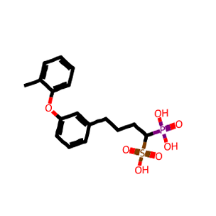 Cc1ccccc1Oc1cccc(CCCC(P(=O)(O)O)S(=O)(=O)O)c1